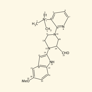 CC[N+](C)(C)c1cccnc1N1CCN(c2cc3cc(OC)ccc3[nH]2)C(C=O)C1